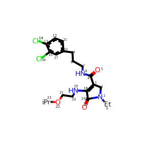 CCN1CC(C(=O)NCCCc2ccc(Cl)c(Cl)c2)=C(NCCOC(C)C)C1=O